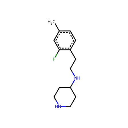 Cc1ccc(CCNC2CCNCC2)c(F)c1